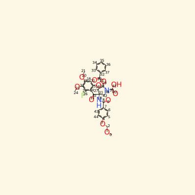 COCOc1ccc(C(=O)NC2(C(=O)c3c(OC)cc(OC)c(OC)c3F)CC(OC(=O)c3ccccc3)N(C(=O)O)C2)cc1